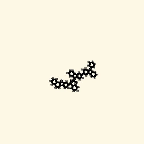 c1ccc(-n2c3ccccc3c3cc(-c4ccc5c(c4)c4ccccc4n5-c4nc(-c5ccc6c(c5)oc5c7ccccc7ccc65)c5ccccc5n4)ccc32)cc1